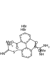 Br.Br.COC(=O)c1cccc(CSC(=N)N)c1-c1c(CSC(=N)N)cccc1C(=O)OC